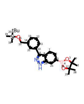 CC1(C)OB(c2ccc3c(-c4cccc(CO[Si](C)(C)C(C)(C)C)c4)n[nH]c3c2)OC1(C)C